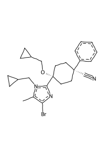 Cc1c(Br)nc([C@]2(OCC3CC3)CC[C@](C#N)(c3ccccc3)CC2)n1CC1CC1